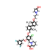 Cc1c(COc2cc(OCc3cc(F)cc(F)c3)c(CN3CCCCC3C(=O)O)cc2Cl)cccc1-c1cccc(OCCCN2CC[C@@H](O)C2)c1C